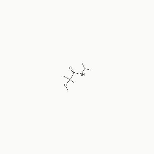 COC(C)(C)C(=O)NC(C)C